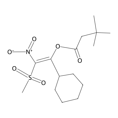 CC(C)(C)CC(=O)O/C(=C(\[N+](=O)[O-])S(C)(=O)=O)C1CCCCC1